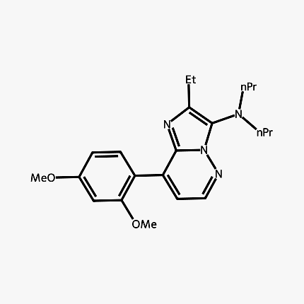 CCCN(CCC)c1c(CC)nc2c(-c3ccc(OC)cc3OC)ccnn12